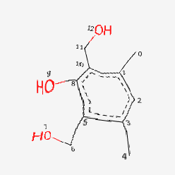 Cc1cc(C)c(CO)c(O)c1CO